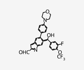 O=CC1=Nc2cc(=C(O)c3ccc(OC(F)(F)F)c(F)c3)c(-c3ccc(N4CCOCC4)cc3)cc2=C1